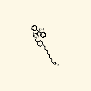 [CH2]CCCCCCCCN1CCC(Cn2cnc(C(O)(c3ccccc3)c3ccccc3)n2)CC1